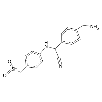 N#CC(Nc1ccc(C[SH](=O)=O)cc1)c1ccc(CN)cc1